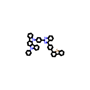 c1ccc(-n2c3ccccc3c3c2ccc2c4ccccc4n(-c4ccc(-c5nc(-c6ccc(-c7cccc8c7sc7ccccc78)cc6)c6ccccc6n5)cc4)c23)cc1